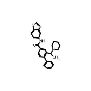 CC(c1cc(C(=O)Nc2ccc3scnc3c2)ccc1-c1ccccc1)N1CCCCC1